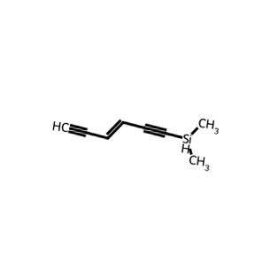 C#CC=CC#C[SiH](C)C